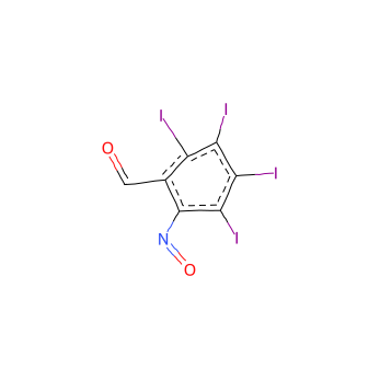 O=Cc1c(I)c(I)c(I)c(I)c1N=O